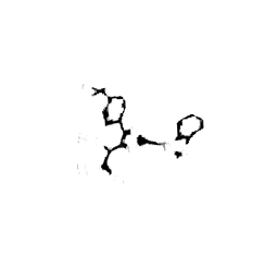 CC(C(=O)O)c1oc(-n2cnc3ccccc32)nc1-c1ccc(C(F)(F)F)cc1